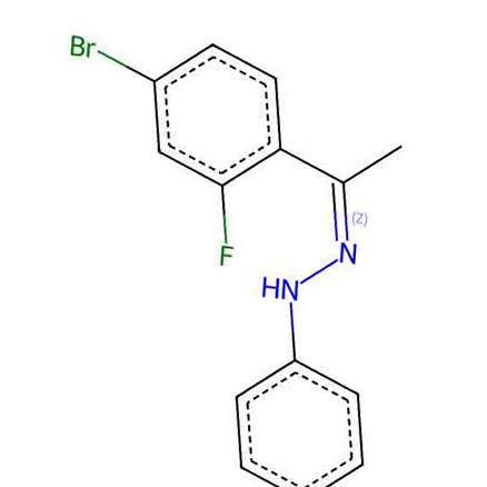 C/C(=N/Nc1ccccc1)c1ccc(Br)cc1F